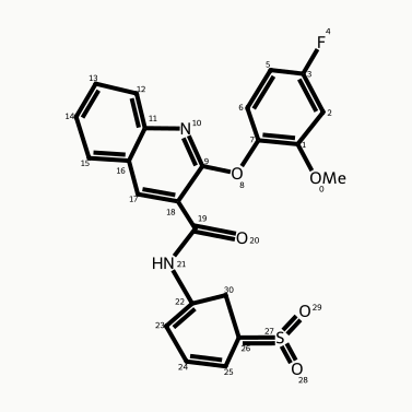 COc1cc(F)ccc1Oc1nc2ccccc2cc1C(=O)NC1=CC=CC(=S(=O)=O)C1